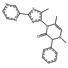 CC1=CN(C)C(c2ccccc2)C(=O)N1c1nc(-c2cnccn2)sc1C